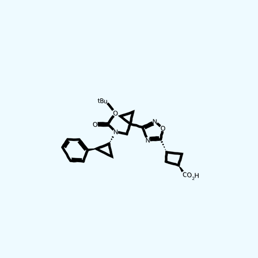 CC(C)(C)OC(=O)N(CC1(c2noc([C@H]3C[C@H](C(=O)O)C3)n2)CC1)[C@@H]1C[C@H]1c1ccccc1